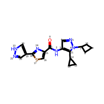 O=C(Nc1cnn(C2CCC2)c1C1CC1)c1csc(-c2cn[nH]c2)n1